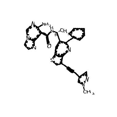 C[C@@H](NC(=O)c1c(N)ncn2ccnc12)c1cc2scc(C#Cc3cnn(C)c3)c2nc1-c1ccccc1